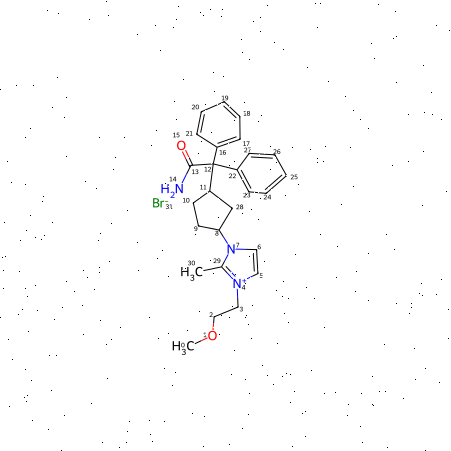 COCC[n+]1ccn(C2CCC(C(C(N)=O)(c3ccccc3)c3ccccc3)C2)c1C.[Br-]